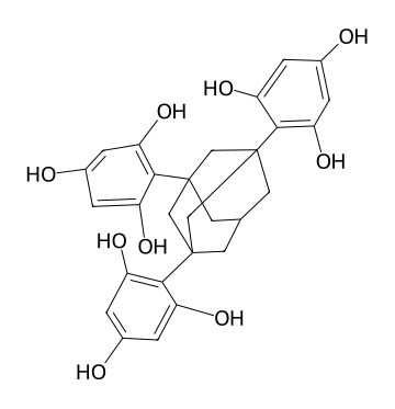 Oc1cc(O)c(C23CC4CC(c5c(O)cc(O)cc5O)(C2)CC(c2c(O)cc(O)cc2O)(C4)C3)c(O)c1